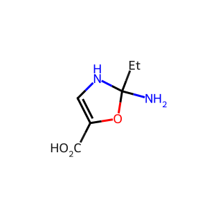 CCC1(N)NC=C(C(=O)O)O1